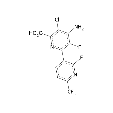 Nc1c(F)c(-c2ccc(C(F)(F)F)nc2F)nc(C(=O)O)c1Cl